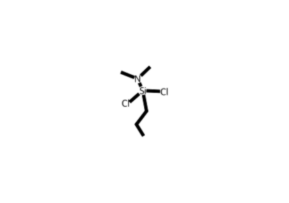 CCC[Si](Cl)(Cl)N(C)C